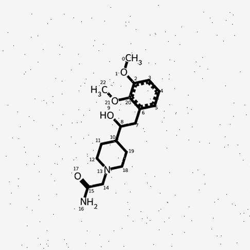 COc1cccc(CC(O)C2CCN(CC(N)=O)CC2)c1OC